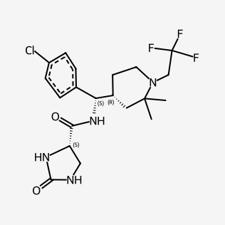 CC1(C)C[C@H]([C@H](NC(=O)[C@@H]2CNC(=O)N2)c2ccc(Cl)cc2)CCN1CC(F)(F)F